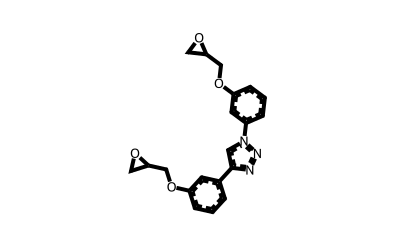 c1cc(OCC2CO2)cc(-c2cn(-c3cccc(OCC4CO4)c3)nn2)c1